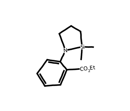 CCOC(=O)c1ccccc1N1CCC[Si]1(C)C